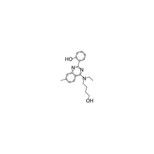 CCN(CCCCO)c1nc(-c2ccccc2O)nc2cc(C)ccc12